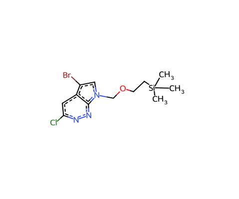 C[Si](C)(C)CCOCn1cc(Br)c2cc(Cl)nnc21